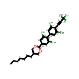 CCCCCCCC1COC(c2cc(F)c(-c3cc(F)c(C#CC(F)(F)F)c(F)c3)c(F)c2)OC1